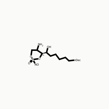 CCCCCCCCCCCCCCCC(O)[C@H]1OP(=O)(N=O)OCC1N